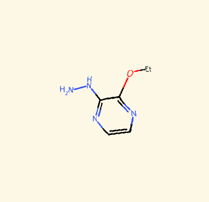 CCOc1nccnc1NN